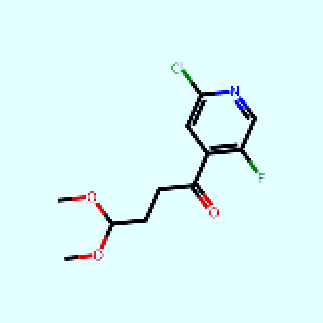 COC(CCC(=O)c1cc(Cl)ncc1F)OC